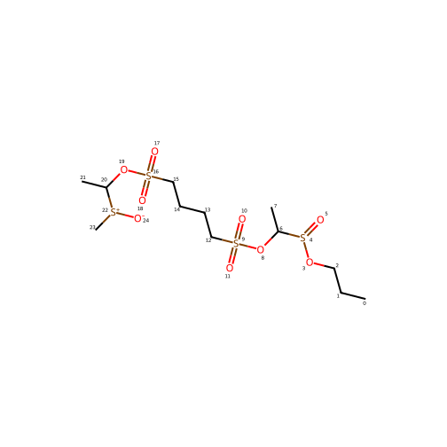 CCCOS(=O)C(C)OS(=O)(=O)CCCCS(=O)(=O)OC(C)[S+](C)[O-]